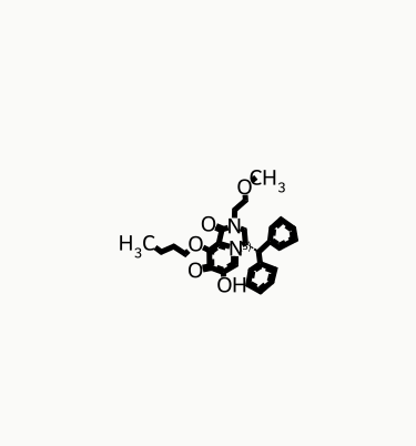 CCCCOc1c2n(cc(O)c1=O)[C@@H](C(c1ccccc1)c1ccccc1)CN(CCOC)C2=O